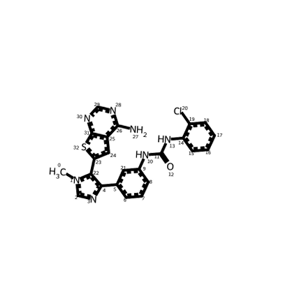 Cn1cnc(-c2cccc(NC(=O)Nc3ccccc3Cl)c2)c1-c1cc2c(N)ncnc2s1